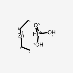 C[CH2][Zn][CH2]C.O=[PH](O)O